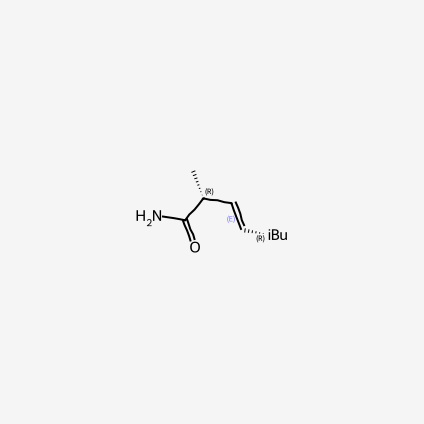 CC[C@@H](C)/C=C/[C@@H](C)C(N)=O